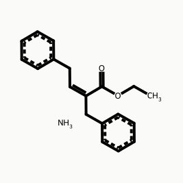 CCOC(=O)C(=CCc1ccccc1)Cc1ccccc1.N